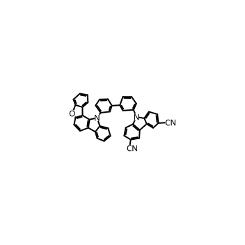 N#Cc1ccc2c(c1)c1cc(C#N)ccc1n2-c1cccc(-c2cccc(-n3c4ccccc4c4ccc5oc6ccccc6c5c43)c2)c1